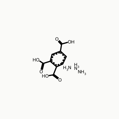 N.N.N.O=C(O)c1ccc(C(=O)O)c(C(=O)O)c1